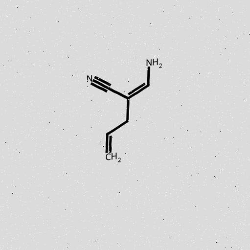 C=CCC(C#N)=CN